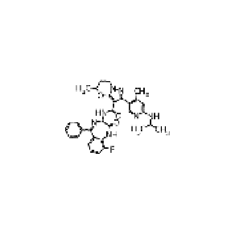 Cc1cc(NC(C)C)ncc1-c1nn2c(c1C(=O)NC1N=C(c3ccccc3)c3cccc(F)c3NC1=O)OC(C)CC2